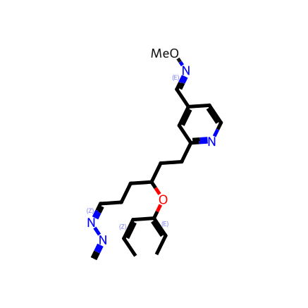 C=N/N=C\CCC(CCc1cc(/C=N/OC)ccn1)OC(/C=C\C)=C/C